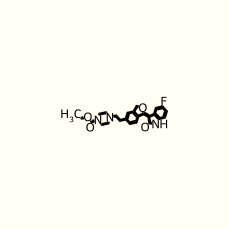 CCOC(=O)N1CCN(CCc2ccc3c(c2)COC3=C2C(=O)Nc3ccc(F)cc32)CC1